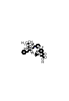 COc1c(N2CCC/C(=C(\F)CNC(=O)C(Cc3ccccc3)NC(=O)OC(C)(C)C)C2)c(F)cc2c(=O)c(C(=O)O)cn(C3CC3)c12